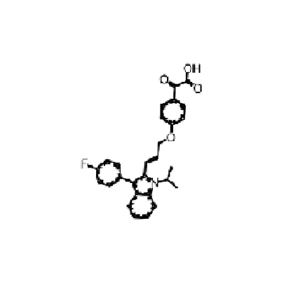 CC(C)n1c(C=CCOc2ccc(C(=O)C(=O)O)cc2)c(-c2ccc(F)cc2)c2ccccc21